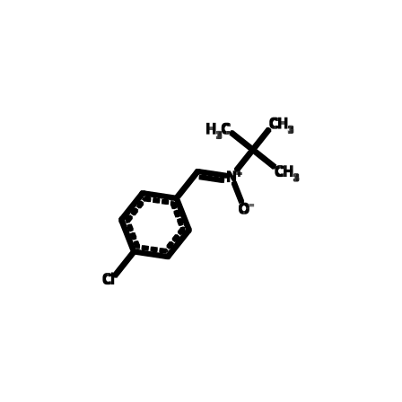 CC(C)(C)[N+]([O-])=Cc1ccc(Cl)cc1